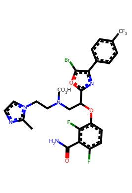 Cc1nccn1CCN(CC(Oc1ccc(F)c(C(N)=O)c1F)c1nc(-c2ccc(C(F)(F)F)cc2)c(Br)o1)C(=O)O